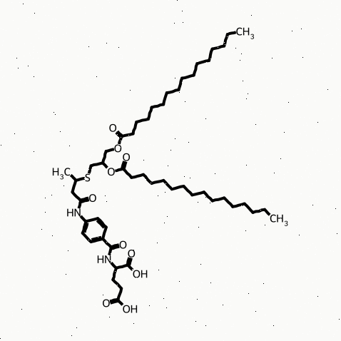 CCCCCCCCCCCCCCCC(=O)OCC(CSC(C)CC(=O)Nc1ccc(C(=O)NC(CCC(=O)O)C(=O)O)cc1)OC(=O)CCCCCCCCCCCCCCC